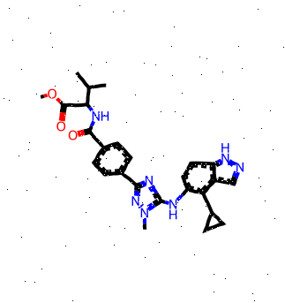 COC(=O)C(NC(=O)c1ccc(-c2nc(Nc3ccc4[nH]ncc4c3C3CC3)n(C)n2)cc1)C(C)C